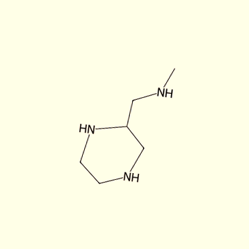 CNCC1CNCCN1